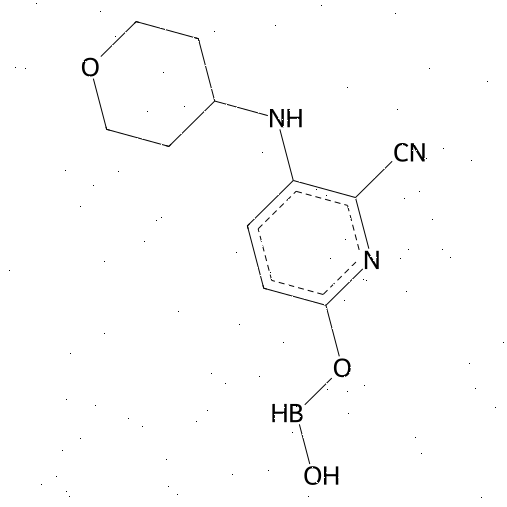 N#Cc1nc(OBO)ccc1NC1CCOCC1